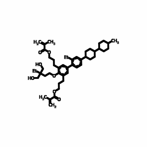 C=C(C)C(=O)OCCCc1cc(-c2ccc(C3CCC(C4CCC(C)CC4)CC3)cc2CC)cc(CCCOC(=O)C(=C)C)c1OCCC(CC)(CO)CO